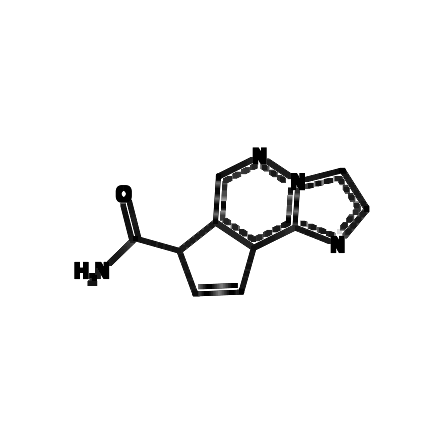 NC(=O)C1C=Cc2c1cnn1ccnc21